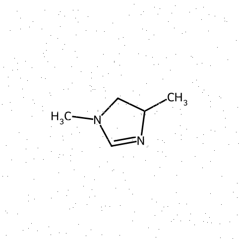 CC1CN(C)C=N1